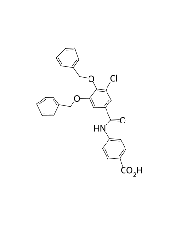 O=C(O)c1ccc(NC(=O)c2cc(Cl)c(OCc3ccccc3)c(OCc3ccccc3)c2)cc1